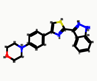 c1ccc2c(-c3nc(-c4ccc(N5CCOCC5)cc4)cs3)n[nH]c2c1